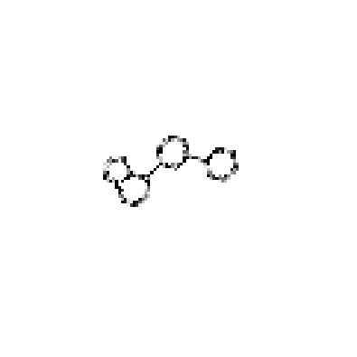 c1ccc(-c2cccc(-c3cccn4cncc34)c2)cc1